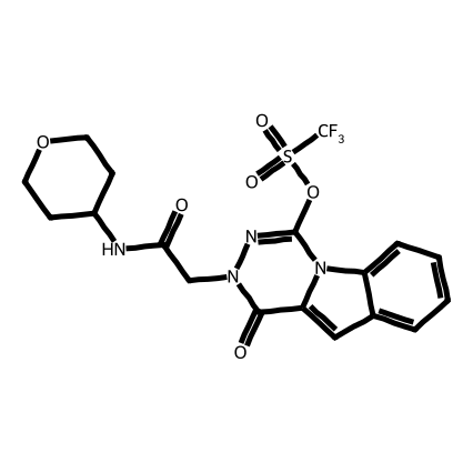 O=C(Cn1nc(OS(=O)(=O)C(F)(F)F)n2c(cc3ccccc32)c1=O)NC1CCOCC1